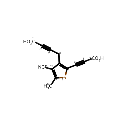 Cc1sc(C#CC(=O)O)c(CC#CC(=O)O)c1C#N